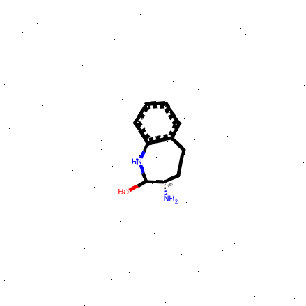 N[C@H]1CCc2ccccc2NC1O